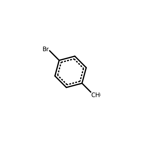 [CH]c1ccc(Br)cc1